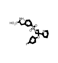 NC(Cc1cccc(S(=O)(=O)N2CC(Oc3ccc(F)cc3)(c3ccccn3)C2)c1)C(=O)O